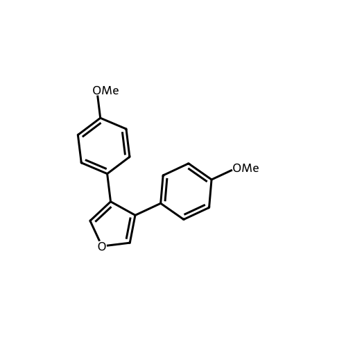 COc1ccc(-c2cocc2-c2ccc(OC)cc2)cc1